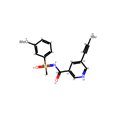 COc1cccc(S(C)(=O)=NC(=O)c2cncc(C#CC(C)(C)C)c2)c1